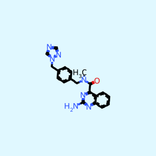 CN(Cc1ccc(Cn2cncn2)cc1)C(=O)c1nc(N)nc2ccccc12